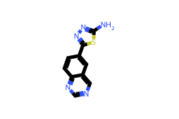 Nc1nnc(-c2ccc3ncncc3c2)s1